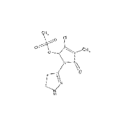 CC1=C(Cl)C(OS(C)(=O)=O)N(C2=NNCC2)C1=O